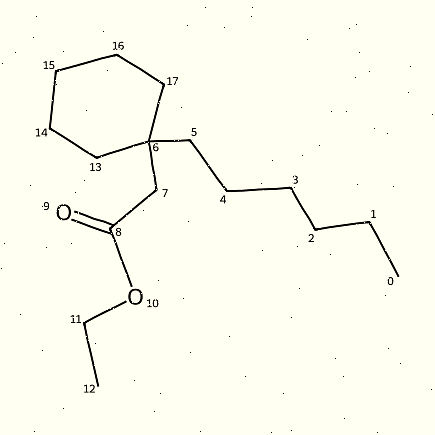 CCCCCCC1(CC(=O)OCC)CCCCC1